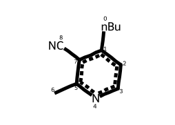 CCCCc1ccnc(C)c1C#N